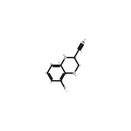 N#CC1COc2c(F)cccc2O1